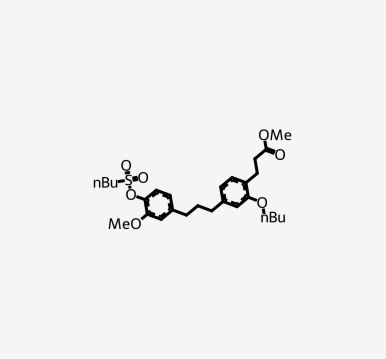 CCCCOc1cc(CCCc2ccc(OS(=O)(=O)CCCC)c(OC)c2)ccc1CCC(=O)OC